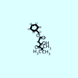 CC(C)(C)C(=O)C(O)CC(=O)OCc1ccccc1